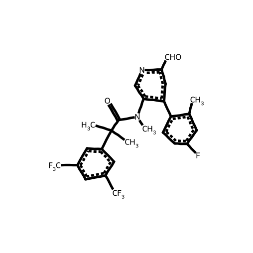 Cc1cc(F)ccc1-c1cc(C=O)ncc1N(C)C(=O)C(C)(C)c1cc(C(F)(F)F)cc(C(F)(F)F)c1